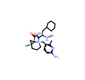 CCN[C@H](CC1CCCCC1)C(=O)[N+]1(Cc2ccc(N)nc2C)CCC[C@@H]2C[C@@]21C(N)=O